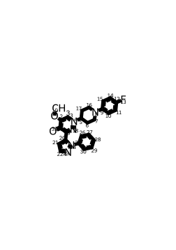 COc1cn(C2CCN(c3ccc(F)cc3)CC2)nc(-c2ccnn2-c2ccccc2)c1=O